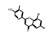 Cc1cc(-c2cc(=O)c3cc(Br)cc(Br)c3o2)ncc1O